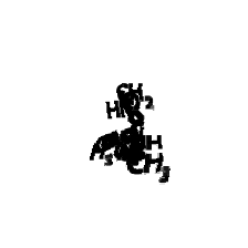 C=CC(=O)Nc1cccc(-c2cc(N3CCOCC3)cc(NC3SC(C)=CN3C)n2)c1